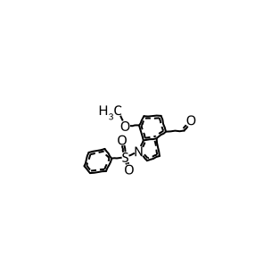 COc1ccc(C=O)c2ccn(S(=O)(=O)c3ccccc3)c12